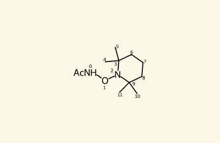 CC(=O)NON1C(C)(C)CCCC1(C)C